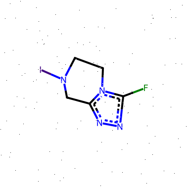 Fc1nnc2n1CCN(I)C2